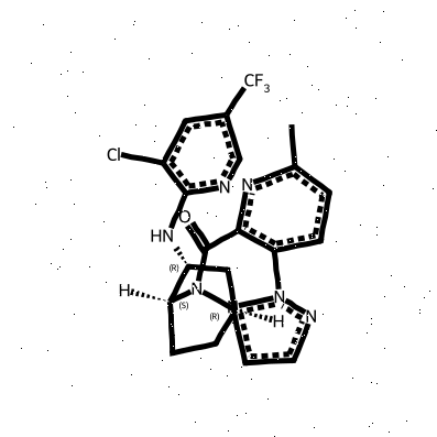 Cc1ccc(-n2nccn2)c(C(=O)N2[C@@H]3CC[C@H]2[C@H](Nc2ncc(C(F)(F)F)cc2Cl)C3)n1